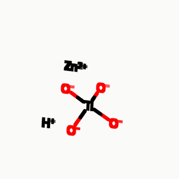 [H+].[O-][Ti]([O-])([O-])[O-].[Zn+2]